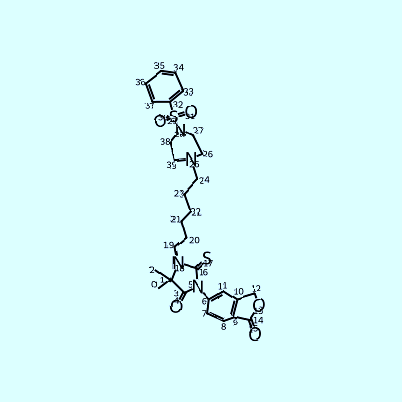 CC1(C)C(=O)N(c2ccc3c(c2)COC3=O)C(=S)N1CCCCCCN1CCN(S(=O)(=O)c2ccccc2)CC1